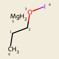 CCCOI.[MgH2]